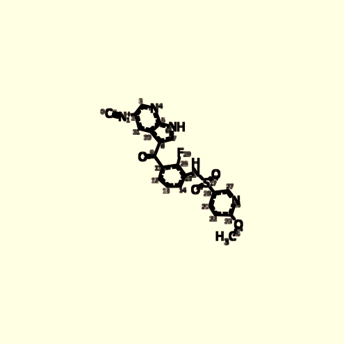 [C-]#[N+]c1cnc2[nH]cc(C(=O)c3cccc(NS(=O)(=O)c4ccc(OC)nc4)c3F)c2c1